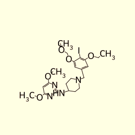 CCOc1cc(CN2CCC(Nc3nc(OC)cc(OC)n3)CC2)cc(OCOC)c1I